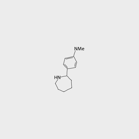 CNc1ccc(C2CCCCCN2)cc1